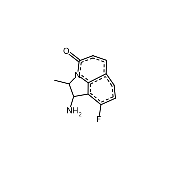 CC1C(N)c2c(F)ccc3ccc(=O)n1c23